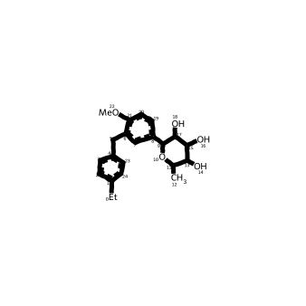 CCc1ccc(Cc2cc(C3OC(C)C(O)C(O)C3O)ccc2OC)cc1